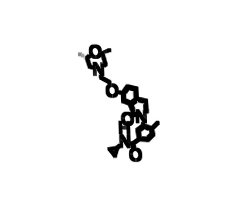 Cc1ccc(C(=O)NC2CC2)cc1-n1ccc2ccc(OCCN3C[C@H](C)O[C@@H](C)C3)cc2c1=O